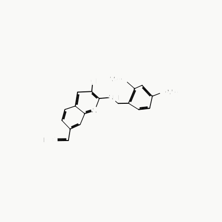 C=Cc1ccc2cc(C(F)(F)F)c(NCc3ccc(OC)cc3OC)nc2c1